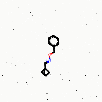 C(=N\OCc1ccccc1)/C12CC(C1)C2